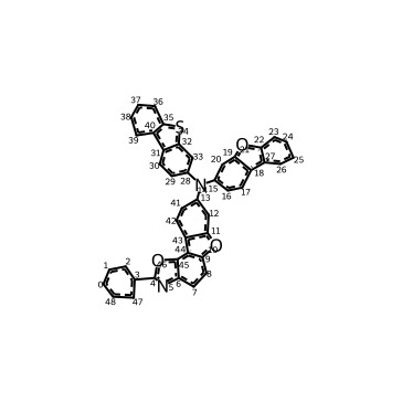 c1ccc(-c2nc3ccc4oc5cc(N(c6ccc7c(c6)oc6ccccc67)c6ccc7c(c6)sc6ccccc67)ccc5c4c3o2)cc1